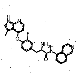 Cc1c[nH]c2nccc(Oc3ccc(CC(N)C(=O)Nc4cccc5cnccc45)cc3F)c12